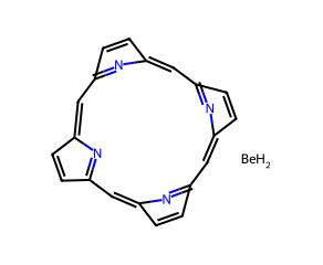 C1=CC2=NC1=CC1=NC(=CC3=NC(=CC4=NC(=C2)C=C4)C=C3)C=C1.[BeH2]